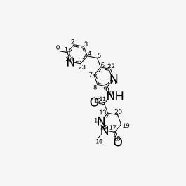 Cc1ccc(Cc2ccc(NC(=O)C3=NN(C)C(=O)CC3)nc2)cn1